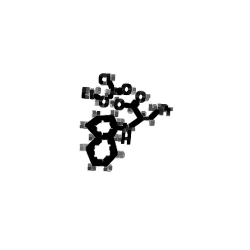 CCOP(=O)(Cl)OC(=O)[C@H](CC(C)C)Nc1cccc2ccccc12